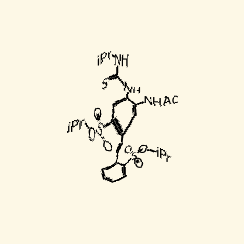 CC(=O)Nc1cc(/C=C/c2ccccc2S(=O)(=O)OC(C)C)c(S(=O)(=O)OC(C)C)cc1NC(=S)NC(C)C